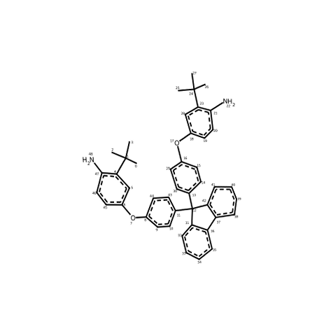 CC(C)(C)c1cc(Oc2ccc(C3(c4ccc(Oc5ccc(N)c(C(C)(C)C)c5)cc4)c4ccccc4-c4ccccc43)cc2)ccc1N